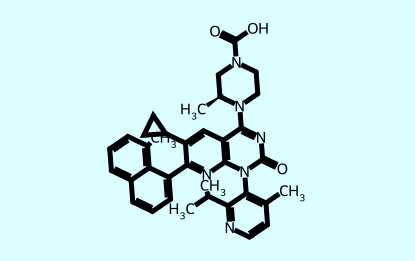 Cc1ccnc(C(C)C)c1-n1c(=O)nc(N2CCN(C(=O)O)C[C@@H]2C)c2cc(C3CC3)c(-c3cccc4cccc(C)c34)nc21